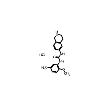 COc1ccc(C)cc1NC(=O)Nc1ccc2c(c1)CCNC2.Cl